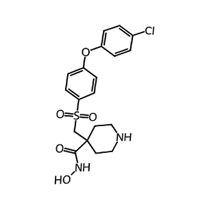 O=C(NO)C1(CS(=O)(=O)c2ccc(Oc3ccc(Cl)cc3)cc2)CCNCC1